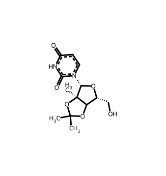 CC1(C)OC2[C@@H](CO)O[C@@H](n3ccc(=O)[nH]c3=O)[C@]2(C)O1